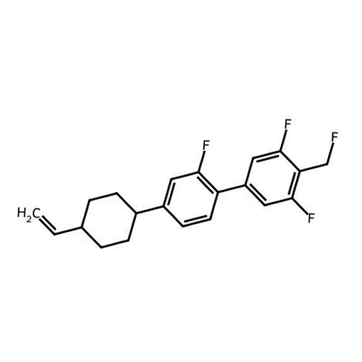 C=CC1CCC(c2ccc(-c3cc(F)c(CF)c(F)c3)c(F)c2)CC1